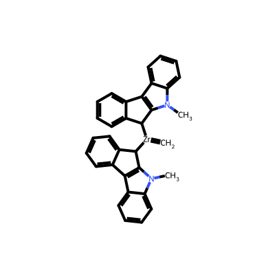 [CH2]=[Zr]([CH]1c2ccccc2-c2c1n(C)c1ccccc21)[CH]1c2ccccc2-c2c1n(C)c1ccccc21